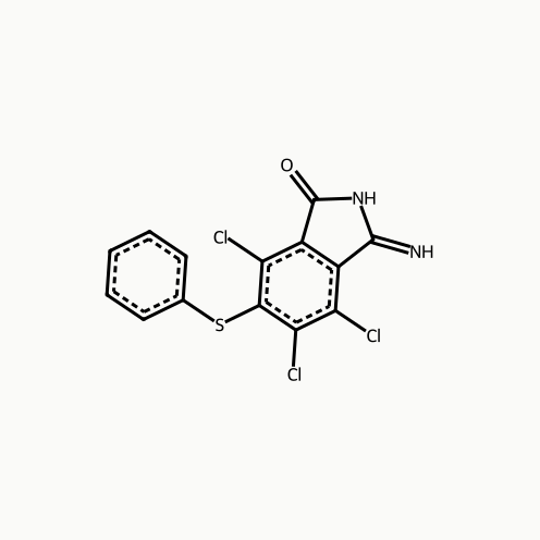 N=C1NC(=O)c2c(Cl)c(Sc3ccccc3)c(Cl)c(Cl)c21